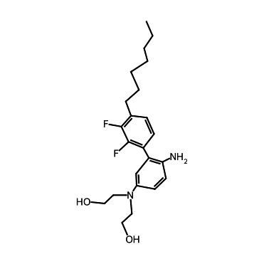 CCCCCCCc1ccc(-c2cc(N(CCO)CCO)ccc2N)c(F)c1F